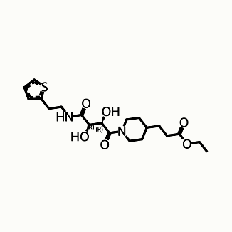 CCOC(=O)CCC1CCN(C(=O)[C@H](O)[C@@H](O)C(=O)NCCc2cccs2)CC1